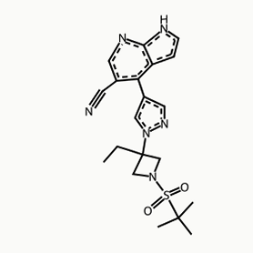 CCC1(n2cc(-c3c(C#N)cnc4[nH]ccc34)cn2)CN(S(=O)(=O)C(C)(C)C)C1